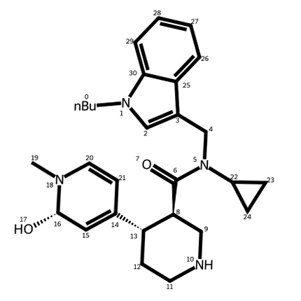 CCCCn1cc(CN(C(=O)[C@H]2CNCC[C@@H]2C2=C[C@H](O)N(C)C=C2)C2CC2)c2ccccc21